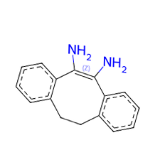 N/C1=C(\N)c2ccccc2CCc2ccccc21